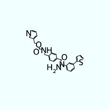 NN(C(=O)c1ccc(CNC(=O)OCc2cccnc2)cc1)c1cccc(-c2cccs2)c1